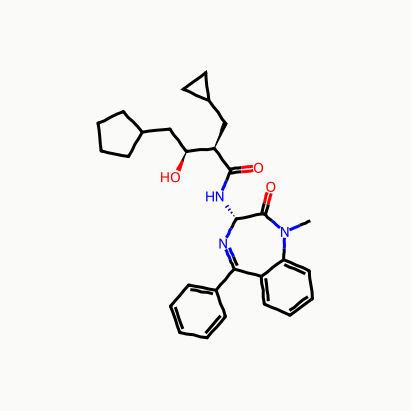 CN1C(=O)[C@@H](NC(=O)[C@H](CC2CC2)[C@@H](O)CC2CCCC2)N=C(c2ccccc2)c2ccccc21